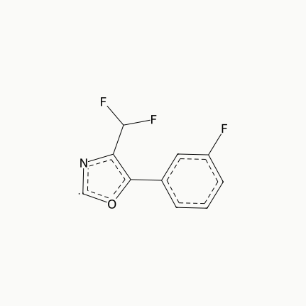 Fc1cccc(-c2o[c]nc2C(F)F)c1